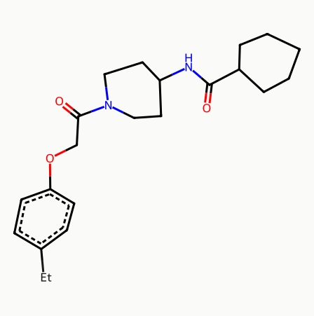 CCc1ccc(OCC(=O)N2CCC(NC(=O)C3CCCCC3)CC2)cc1